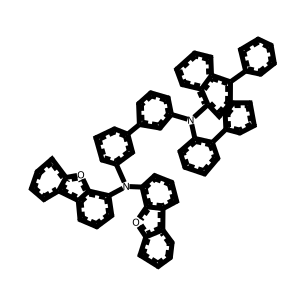 c1ccc(-c2ccccc2N(c2cccc(-c3cccc(N(c4cccc5c4oc4ccccc45)c4cccc5c4oc4ccccc45)c3)c2)c2ccc(-c3ccccc3)c3ccccc23)cc1